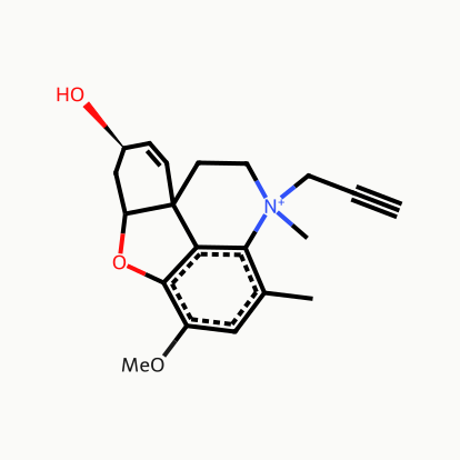 C#CC[N+]1(C)CCC23C=C[C@H](O)CC2Oc2c(OC)cc(C)c1c23